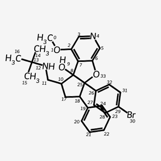 COc1cncc2c1C1(O)C(CNC(C)(C)C)CC(c3ccccc3)C1(c1ccc(Br)cc1)O2